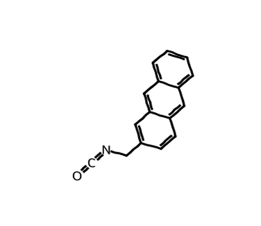 O=C=NCc1ccc2cc3ccccc3cc2c1